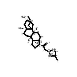 COC[C@]12CC[C@@H](O)C[C@@H]1CC[C@H]1[C@@H]3CC[C@H](C(=O)CN4NCC(C)N4)[C@@]3(C)CC[C@@H]12